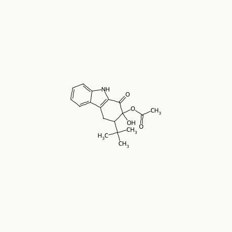 CC(=O)OC1(O)C(=O)c2[nH]c3ccccc3c2CC1C(C)(C)C